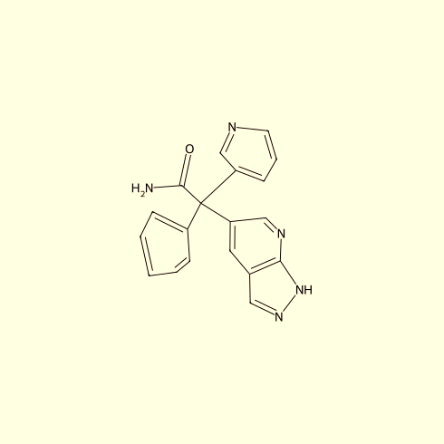 NC(=O)C(c1ccccc1)(c1cccnc1)c1cnc2[nH]ncc2c1